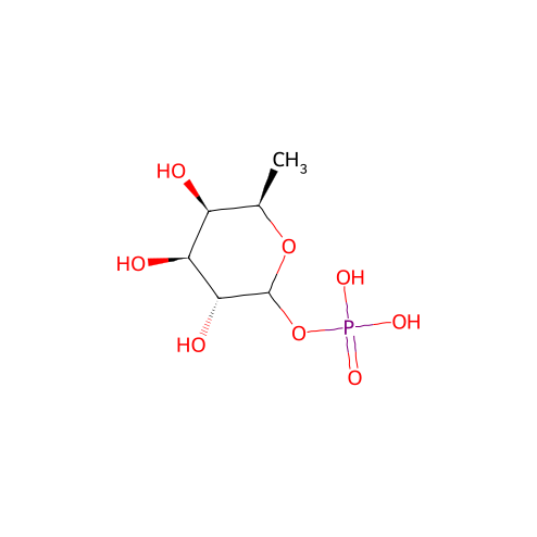 C[C@H]1OC(OP(=O)(O)O)[C@H](O)[C@@H](O)[C@H]1O